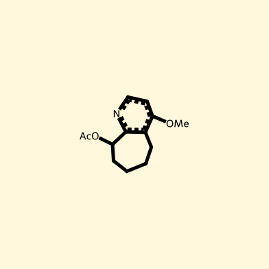 COc1ccnc2c1CCCCC2OC(C)=O